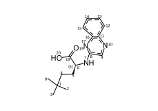 CC(C)(C)CC[C@H](Nc1cnc2ccccc2n1)C(=O)O